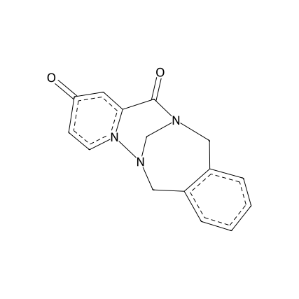 O=C1c2cc(=O)ccn2N2Cc3ccccc3CN1C2